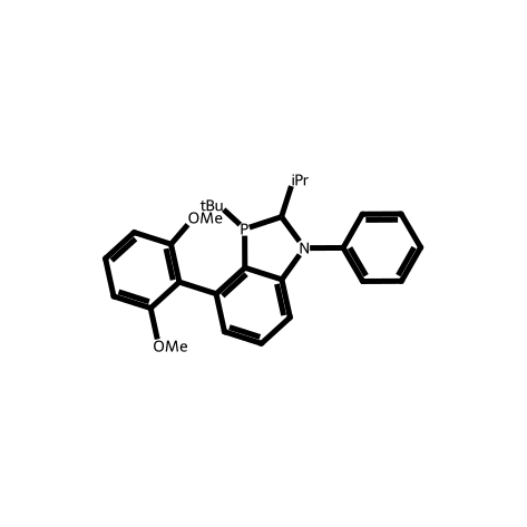 COc1cccc(OC)c1-c1cccc2c1P(C(C)(C)C)C(C(C)C)N2c1ccccc1